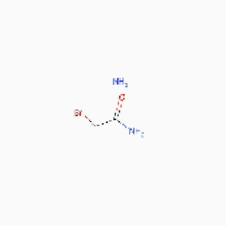 N.NC(=O)CBr